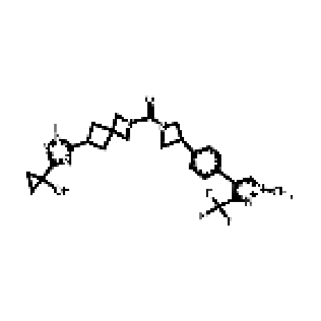 Cn1cc(-c2ccc(C3CN(C(=O)N4CC5(CC(c6nc(C7(O)CC7)n[nH]6)C5)C4)C3)cc2)c(C(F)(F)F)n1